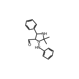 CC1(C)NC(c2ccccc2)C(C=O)N1Nc1ccccc1